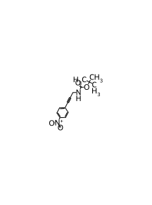 CC(C)(C)OC(=O)NCC#Cc1ccc([N+](=O)[O-])cc1